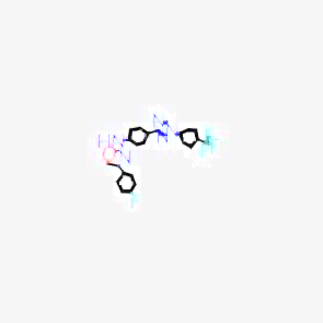 Fc1ccc(C2COC(Nc3ccc(-c4ncn(-c5ccc(C(F)(F)F)cc5)n4)cc3)=N2)cc1